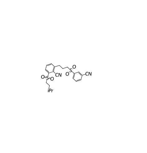 CC(C)CCS(=O)(=O)c1cccc(CCCS(=O)(=O)c2cccc(C#N)c2)c1C#N